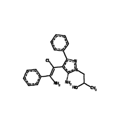 CC(O)Cn1nc(-c2ccccc2)c(/C(Cl)=C(\N)c2ccccc2)c1N